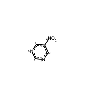 O=[N+]([O-])c1[c]ncnc1